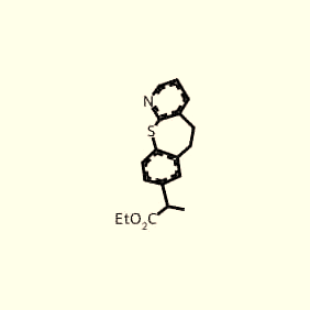 CCOC(=O)C(C)c1ccc2c(c1)CCc1cccnc1S2